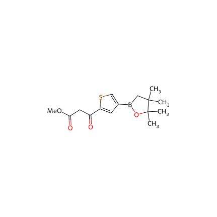 COC(=O)CC(=O)c1cc(B2CC(C)(C)C(C)(C)O2)cs1